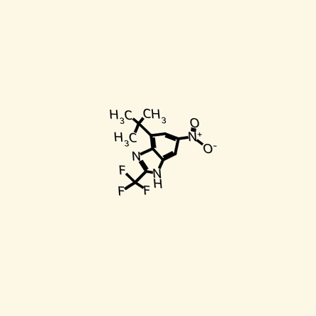 CC(C)(C)c1cc([N+](=O)[O-])cc2[nH]c(C(F)(F)F)nc12